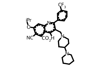 CC(C)Oc1cc2nc(-c3cccc(C(F)(F)F)c3)c(CN3CCC(N4CCCCC4)CC3)c(C(=O)O)c2cc1C#N